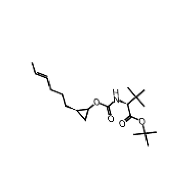 C/C=C/CCC[C@@H]1CC1OC(=O)N[C@H](C(=O)OC(C)(C)C)C(C)(C)C